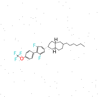 CCCCCCC1CC[C@@H]2C[C@H](c3cc(F)c(-c4ccc(OC(F)(F)F)cc4)c(F)c3)CC[C@@H]2C1